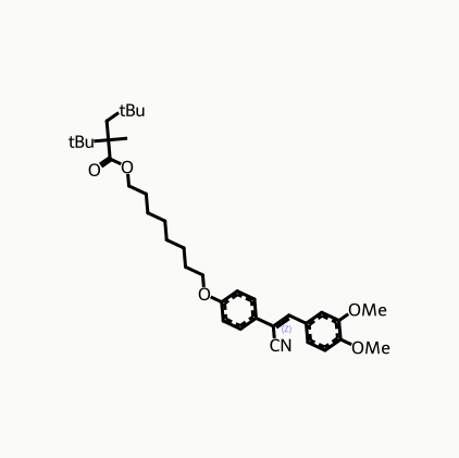 COc1ccc(/C=C(\C#N)c2ccc(OCCCCCCCCOC(=O)C(C)(CC(C)(C)C)C(C)(C)C)cc2)cc1OC